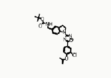 CC(C)Oc1ccc(-c2nc(N3CCc4cc(CNC(=O)OC(C)(C)C)ccc43)no2)cc1Cl